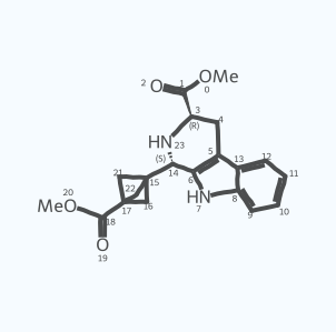 COC(=O)[C@H]1Cc2c([nH]c3ccccc23)[C@H](C23CC(C(=O)OC)(C2)C3)N1